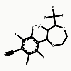 CC1C(c2c(F)c(F)c(C#N)c(F)c2F)OCCOC1C(F)(F)F